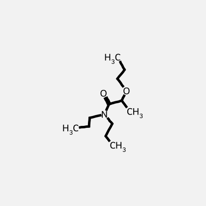 CCCOC(C)C(=O)N(CCC)CCC